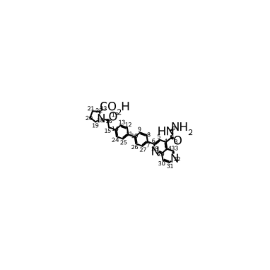 NNC(=O)c1cc(-c2ccc(-c3ccc(CC(=O)N4CCCC4C(=O)O)cc3)cc2)nc2ccncc12